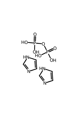 O=P(O)(O)OP(=O)(O)O.c1c[nH]cn1.c1c[nH]cn1